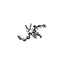 CCCCOP(CCCC)c1cc(-c2ccc(-c3ccc(-c4ccc(C)s4)s3)s2)sc1-c1sc(-c2ccc(-c3ccc(-c4ccc(C)s4)s3)s2)cc1P(=O)(OCCCC)OCCCC